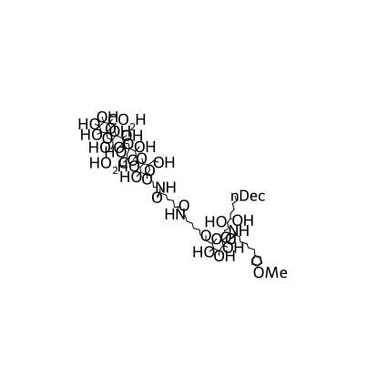 CCCCCCCCCCCCCC[C@@H](O)[C@@H](O)[C@H](COC1OC(COCCCCCCNC(=O)CCCCC(=O)NCCOC2OC(CO)C(OC3OC(C(=O)O)C(O)C(OC4OC(CO)C(OC5OC(C(=O)O)C(O)C(O)C5O)C(O)C4O)C3O)C(O)C2O)C(O)C(O)C1O)NC(=O)CCCCCc1ccc(OC)cc1